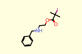 CC(C)(I)C(=O)OCCNCc1ccccc1